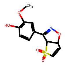 COc1cc(C2=NOC3C=CS(=O)(=O)C23)ccc1O